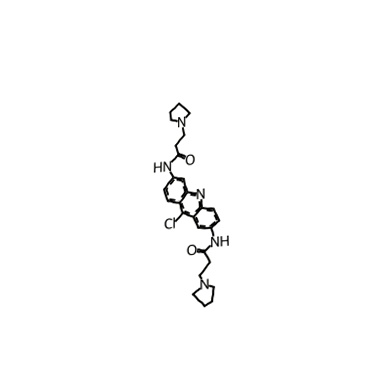 O=C(CCN1CCCC1)Nc1ccc2c(Cl)c3cc(NC(=O)CCN4CCCC4)ccc3nc2c1